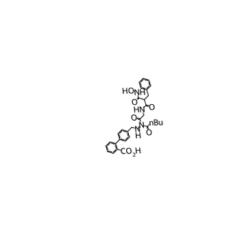 CCCCC(=O)N(NCc1ccc(-c2ccccc2C(=O)O)cc1)C(=O)CNC(=O)C(Cc1ccccc1)C(=O)NO